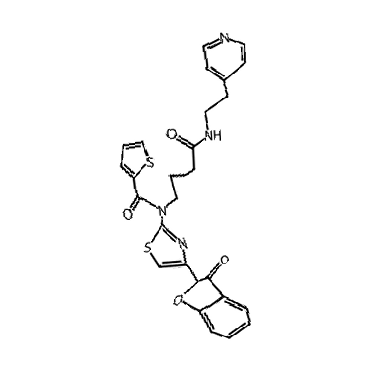 O=C(CCCN(C(=O)c1cccs1)c1nc(C2Oc3ccccc3C2=O)cs1)NCCc1ccncc1